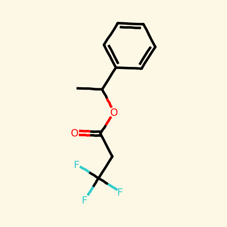 CC(OC(=O)CC(F)(F)F)c1ccccc1